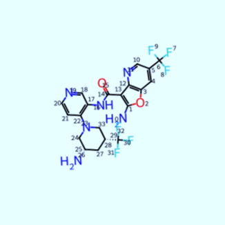 Nc1oc2cc(C(F)(F)F)cnc2c1C(=O)Nc1cnccc1N1C[C@@H](N)C[C@@H](C(F)(F)F)C1